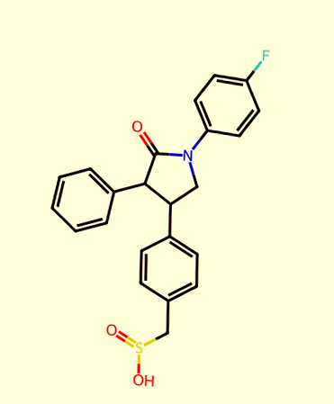 O=C1C(c2ccccc2)C(c2ccc(CS(=O)O)cc2)CN1c1ccc(F)cc1